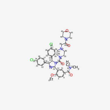 CCOc1ccc(C(=O)N(C)C)cc1C1=N[C@@H](c2ccc(Cl)cc2)[C@@H](c2ccc(Cl)cc2)N1C(=O)N1CCN(CC(=O)N2CCOCC2)CC1